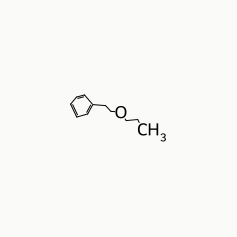 CCCOCCc1ccccc1